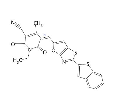 CCN1C(=O)C(C#N)=C(C)/C(=C/c2cc3sc(-c4cc5ccccc5s4)nc3o2)C1=O